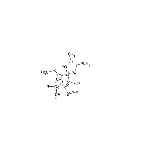 CC[O][Zr]([O]CC)([O]CC)[C]1=[C]([Ge]([CH3])([CH3])[F])C=CC1